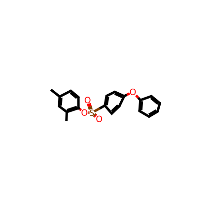 Cc1ccc(OS(=O)(=O)c2ccc(Oc3ccccc3)cc2)c(C)c1